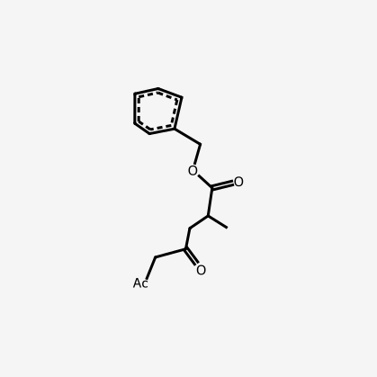 CC(=O)CC(=O)CC(C)C(=O)OCc1ccccc1